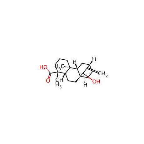 C=C1[C@H]2CC[C@@]3(CC[C@H]4[C@@](C)(CCC[C@@]4(C)C(=O)O)[C@@H]3C2)[C@@H]1O